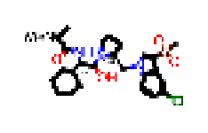 CN[C@@H](C)C(=O)N[C@@H](C1CCCCC1)C(O)N1CCC[C@H]1Cn1cc(S(C)(=O)=O)c2cc(Cl)ccc21